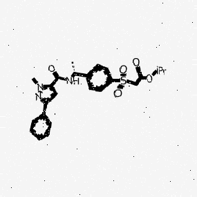 CC(C)OC(=O)CS(=O)(=O)c1ccc([C@@H](C)NC(=O)c2cc(-c3ccccc3)nn2C)cc1